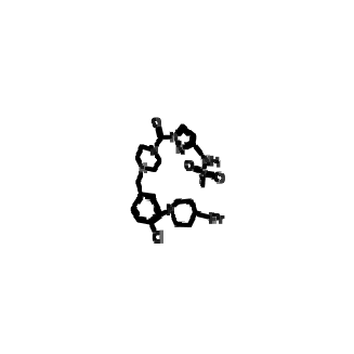 CC(C)C1CCN(c2cc(CN3CCN(C(=O)n4ccc(NS(C)(=O)=O)n4)CC3)ccc2Cl)CC1